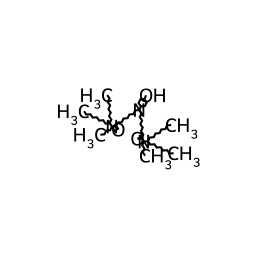 CCCCCCCCC(CCCCCCCC)N(CCCC)C(=O)CCCCCCCN(CCCCCCCC(=O)N(CCCC)C(CCCCCCCC)CCCCCCCC)C1CCC(O)CC1